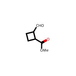 COC(=O)C1CCC1C=O